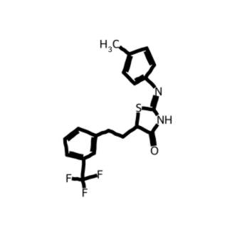 Cc1ccc(/N=C2/NC(=O)C(CCc3cccc(C(F)(F)F)c3)S2)cc1